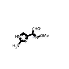 CO/N=C(\[C]=O)c1c[nH]c(N)n1